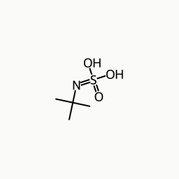 CC(C)(C)N=S(=O)(O)O